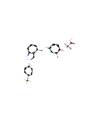 Cc1cc(SCc2cccc3nn(-c4ccc(C(F)(F)F)cc4)cc23)ccc1OC(C)(C)C(=O)O